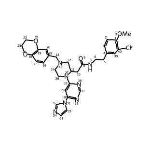 COc1ccc(CCNC(=O)CC2CN(Cc3ccc4c(c3)OCCO4)CCN2c2cc(-n3ccnc3)ncn2)cc1Cl